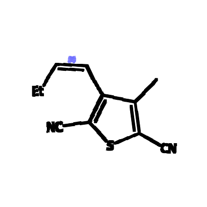 CC/C=C\c1c(C#N)sc(C#N)c1C